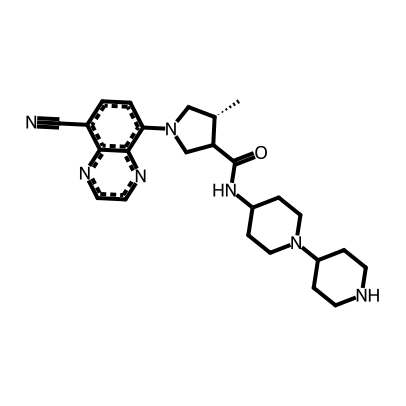 C[C@H]1CN(c2ccc(C#N)c3nccnc23)CC1C(=O)NC1CCN(C2CCNCC2)CC1